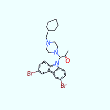 CC(=O)C(N1CCN(CC2CCCCC2)CC1)n1c2ccc(Br)cc2c2cc(Br)ccc21